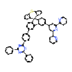 c1ccc(-c2nc(-c3ccccc3)nc(-c3ccc(-c4ccc5c(c4)-c4cc(-c6cc(-c7ccccn7)nc(-c7ccccn7)c6)ccc4C54c5ccccc5Sc5ccccc54)cc3)n2)cc1